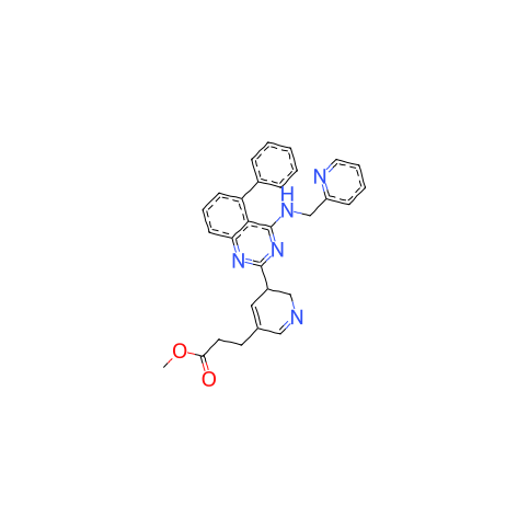 COC(=O)CCC1=CC(c2nc(NCc3ccccn3)c3c(-c4ccccc4)cccc3n2)CN=C1